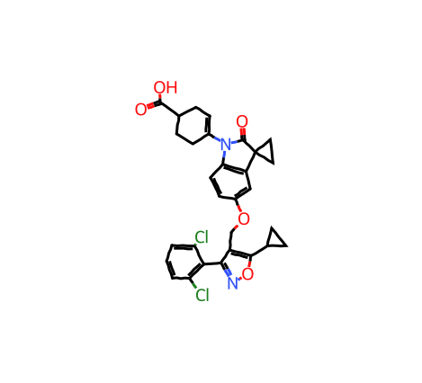 O=C(O)C1CC=C(N2C(=O)C3(CC3)c3cc(OCc4c(-c5c(Cl)cccc5Cl)noc4C4CC4)ccc32)CC1